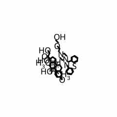 C[C@]12C=CC(=O)C=C1CC[C@@H]1[C@@H]2[C@@H](O)C[C@@]2(C)[C@H]1CC[C@]2(O)C(=O)CO.OCCOCCN1CCN(C2=Nc3ccccc3Sc3ccccc32)CC1